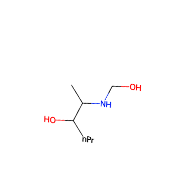 CCCC(O)C(C)NCO